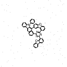 c1ccc(-c2nc(-c3cccc4c3oc3ccccc34)nc(-c3cccc4oc5ccc(-c6cccc7c8ccccc8n(-c8ccccc8)c67)cc5c34)n2)cc1